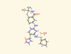 CC1(C)Cc2ccc(Nc3ncc(-c4nnco4)c(N[C@H](CO)c4ccccc4)n3)cc2C(=O)N1